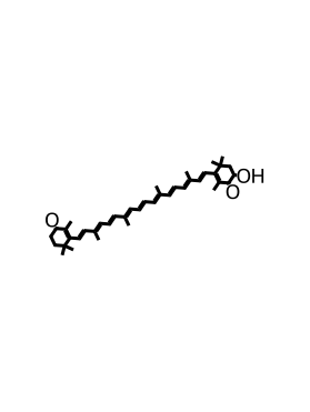 CC1=C(/C=C/C(C)=C/C=C/C(C)=C/C=C/C=C(C)/C=C/C=C(C)/C=C/C2=C(C)C(=O)C(O)CC2(C)C)C(C)(C)CCC1=O